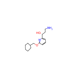 NCC[C@@H](O)c1cccc(OCC2CCCCC2)n1